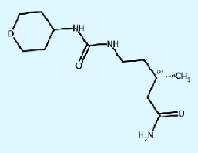 C[C@@H]([CH]CNC(=O)NC1CCOCC1)CC(N)=O